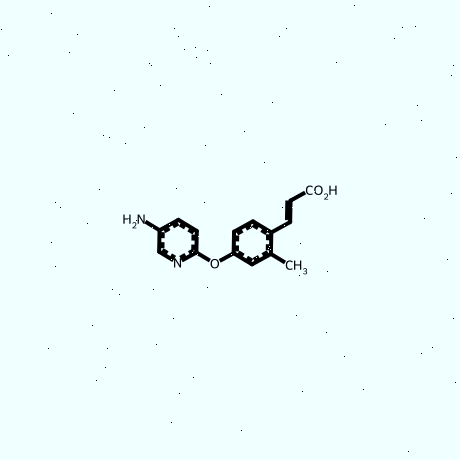 Cc1cc(Oc2ccc(N)cn2)ccc1C=CC(=O)O